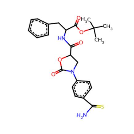 CC(C)(C)OC(=O)C(Cc1ccccc1)NC(=O)C1CN(c2ccc(C(N)=S)cc2)C(=O)O1